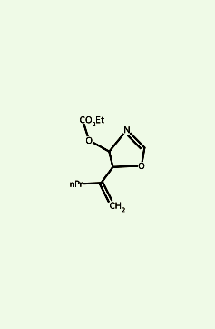 C=C(CCC)C1OC=NC1OC(=O)OCC